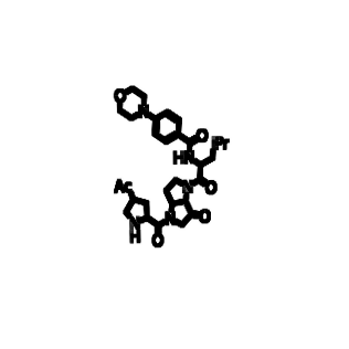 CC(=O)C1CNC(C(=O)N2CC(=O)C3C2CCN3C(=O)C(CC(C)C)NC(=O)c2ccc(N3CCOCC3)cc2)C1